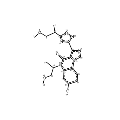 COCC(C)c1nc(-c2ncn3c2c(=O)n(C(C)COC)c2cc(Cl)ccc23)no1